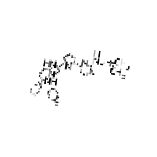 CN(C)CCNc1nccc(-c2cccc(-c3cnc(/C=C\C(=N)N4CCCC4c4cccc(F)c4)[nH]3)n2)n1